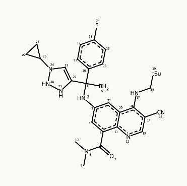 BC(Nc1cc(C(=O)N(C)C)c2ncc(C#N)c(NCC(C)(C)C)c2c1)(C1=CN(C2CC2)NN1)c1ccc(F)cc1